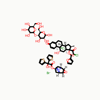 C[C@@H]1C[C@H]2[C@@H]3CCC4=CC(=O)C=C[C@]4(C)[C@@]3(Cl)[C@@H](O)C[C@]2(C)[C@@]1(OC(=O)c1ccco1)C(=O)CCl.C[N+]1(C)[C@@H]2C[C@@H](OC(=O)C(O)(c3cccs3)c3cccs3)C[C@H]1[C@@H]1O[C@@H]12.OC[C@H]1O[C@@H](O[C@H]2[C@H](O)[C@@H](O)[C@H](O)O[C@@H]2CO)[C@H](O)[C@@H](O)[C@H]1O.[Br-]